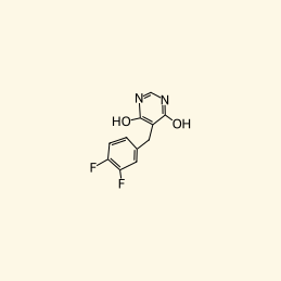 Oc1ncnc(O)c1Cc1ccc(F)c(F)c1